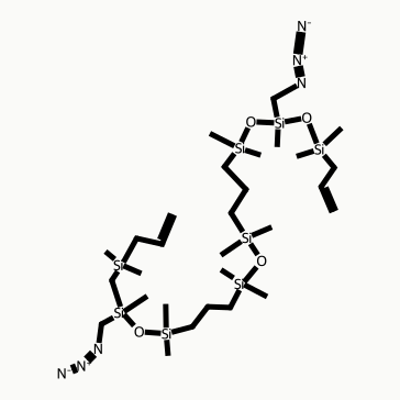 C=CC[Si](C)(C)C[Si](C)(CN=[N+]=[N-])O[Si](C)(C)CCC[Si](C)(C)O[Si](C)(C)CCC[Si](C)(C)O[Si](C)(CN=[N+]=[N-])O[Si](C)(C)CC=C